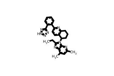 CCc1nc2c(C)cc(C)nc2n1C1CCCc2nc(-c3ccccc3-c3nn[nH]n3)ccc21